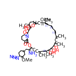 CO[C@H]1C[C@@H]2CC[C@@H](C)[C@@](O)(O2)C(=O)C(=O)N2CCCC[C@H]2C(=O)O[C@H]([C@H](N)C[C@@H]2CCC(N=[N+]=[N-])[C@H](OC)C2)CC[C@H](C)/C=C(\C)[C@@H](O)[C@@H](O)C(=O)[C@H](C)C[C@H](C)/C=C/C=C/C=C/1C